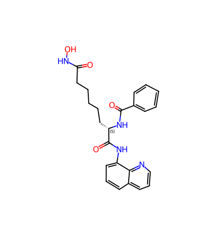 O=C(CCCCC[C@H](NC(=O)c1ccccc1)C(=O)Nc1cccc2cccnc12)NO